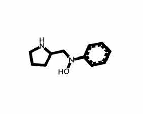 ON(CC1CCCN1)c1ccccc1